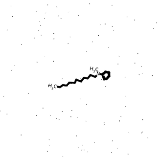 CCCCCCCCCCCCN(C)c1ccccc1